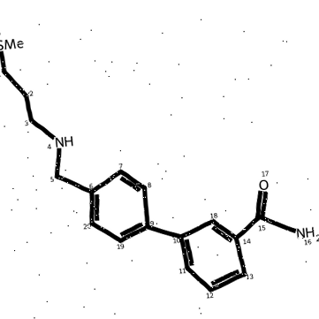 CSCCCNCc1ccc(-c2cccc(C(N)=O)c2)cc1